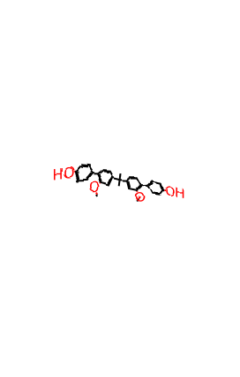 COc1cc(C(C)(C)c2ccc(-c3ccc(O)cc3)c(OC)c2)ccc1-c1ccc(O)cc1